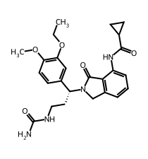 CCOc1cc([C@@H](CCNC(N)=O)N2Cc3cccc(NC(=O)C4CC4)c3C2=O)ccc1OC